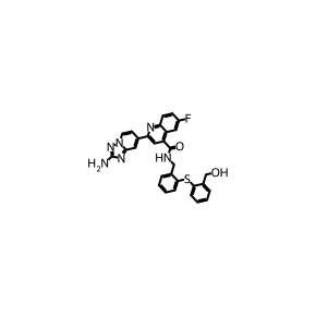 Nc1nc2cc(-c3cc(C(=O)NCc4ccccc4Sc4ccccc4CO)c4cc(F)ccc4n3)ccn2n1